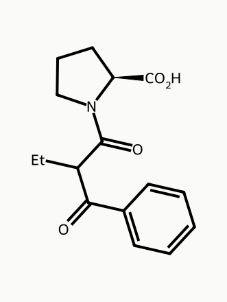 CCC(C(=O)c1ccccc1)C(=O)N1CCC[C@H]1C(=O)O